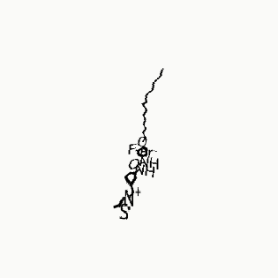 CCCCCCCCCCCCCCOc1ccc(NC(=O)Nc2cccc(C[n+]3csc(C)c3)c2)cc1F.[Br-]